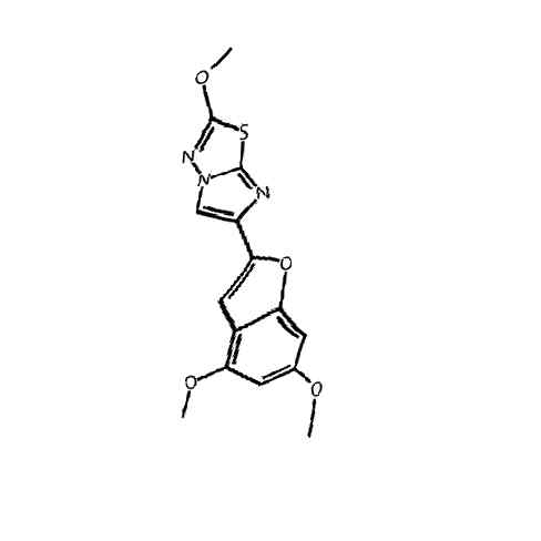 COc1cc(OC)c2cc(-c3cn4nc(OC)sc4n3)oc2c1